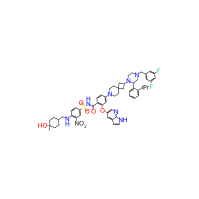 CC(C)c1ccccc1C1CN(Cc2cc(F)cc(F)c2)CCN1C1CC2(CCN(c3ccc(C(=O)NS(=O)(=O)c4ccc(NCC5CCC(C)(O)CC5)c([N+](=O)[O-])c4)c(Oc4cnc5[nH]ccc5c4)c3)CC2)C1